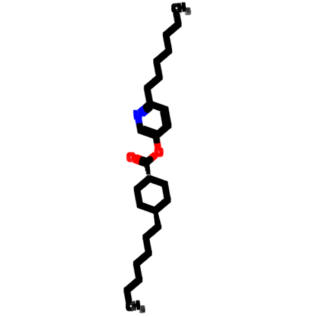 CCCCCCCc1ccc(OC(=O)[C@H]2CC[C@H](CCCCCCC)CC2)cn1